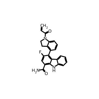 C=CC(=O)N1CCc2c(-c3c(F)cc(C(N)=O)c4[nH]c5ccccc5c34)cccc21